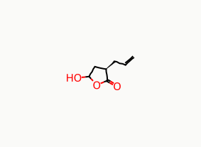 C=CC[C@@H]1CC(O)OC1=O